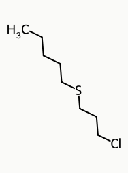 CCCCCSCCCCl